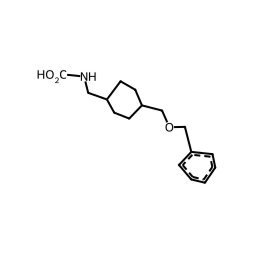 O=C(O)NCC1CCC(COCc2ccccc2)CC1